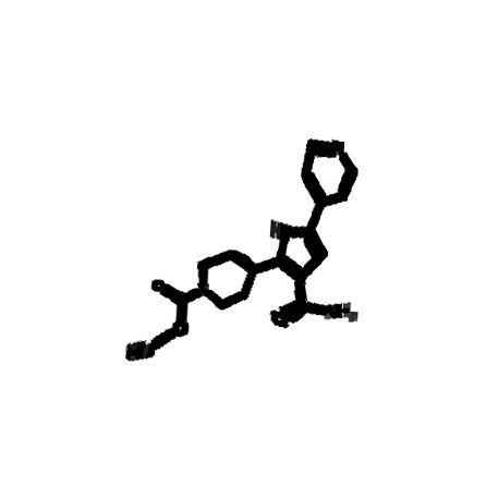 CC(C)(C)OC(=O)N1CCC(c2[nH]c(-c3ccncc3)cc2C(N)=O)CC1